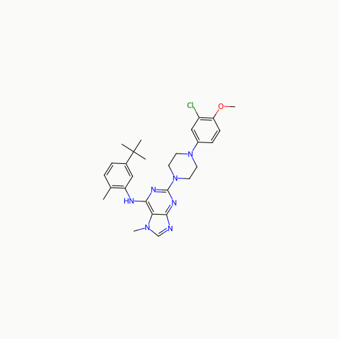 COc1ccc(N2CCN(c3nc(Nc4cc(C(C)(C)C)ccc4C)c4c(ncn4C)n3)CC2)cc1Cl